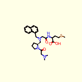 CSCCC(NC(=O)CN(Cc1cccc2ccccc12)C[C@@H]1CCCN1C(=O)CN(C)C)C(=O)O